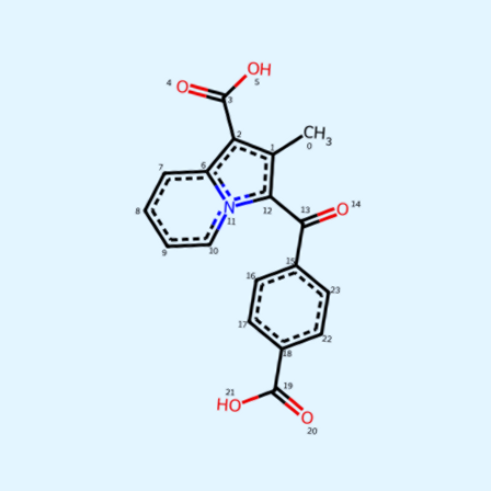 Cc1c(C(=O)O)c2ccccn2c1C(=O)c1ccc(C(=O)O)cc1